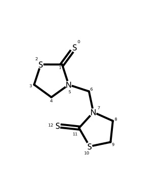 S=C1SCCN1CN1CCSC1=S